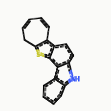 C1=CCc2sc3c(ccc4[nH]c5ccccc5c43)c2C=C1